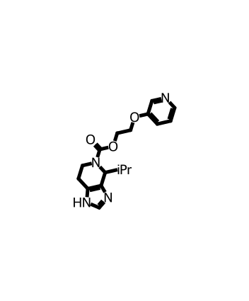 CC(C)C1c2nc[nH]c2CCN1C(=O)OCCOc1cccnc1